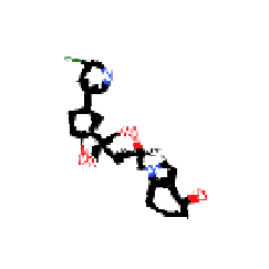 CC(C)(CC(O)(Cn1ccc2c1CCCC2=O)C(F)(F)F)c1cc(-c2cncc(Cl)c2)ccc1O